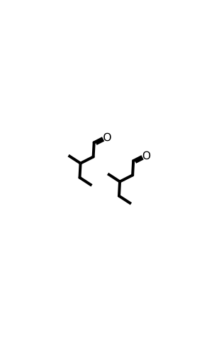 CCC(C)CC=O.CCC(C)CC=O